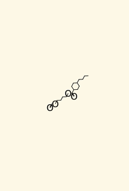 CCCCC1CCC(C(=O)OCCCCOC=O)CC1